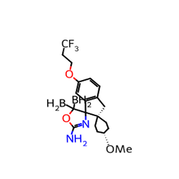 BC1(B)OC(N)=NC12c1cc(OCCC(F)(F)F)ccc1C[C@]21CC[C@@H](OC)CC1